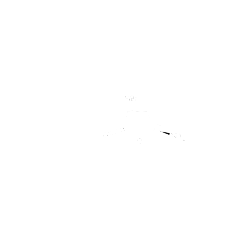 Br.N[C@@H]1CCC(=O)O1